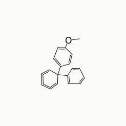 COc1ccc(C2(c3ccccc3)C=C=C=C=C2)cc1